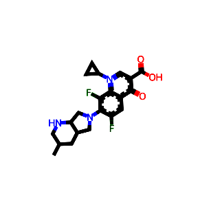 CC1CNC2CN(c3c(F)cc4c(=O)c(C(=O)O)cn(C5CC5)c4c3F)CC2C1